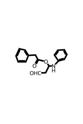 O=CCC(Nc1ccccc1)OC(=O)Cc1ccccc1